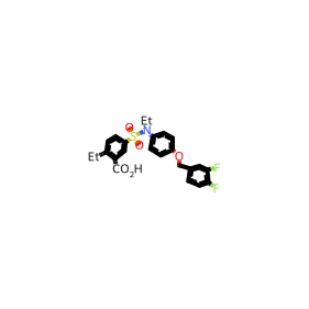 CCc1ccc(S(=O)(=O)N(CC)c2ccc(OCc3ccc(F)c(F)c3)cc2)cc1C(=O)O